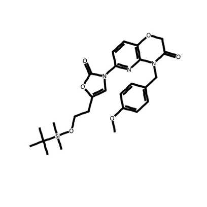 COc1ccc(CN2C(=O)COc3ccc(-n4cc(CCO[Si](C)(C)C(C)(C)C)oc4=O)nc32)cc1